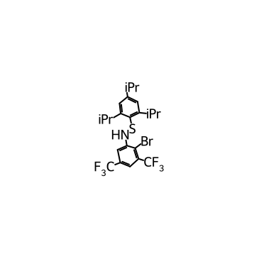 CC(C)c1cc(C(C)C)c(SNc2cc(C(F)(F)F)cc(C(F)(F)F)c2Br)c(C(C)C)c1